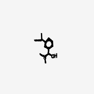 CC(C)c1cccc(C(O)N(C)C)c1